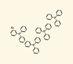 [Ar].c1ccc(P(c2ccccc2)c2ccccc2)cc1.c1ccc(P(c2ccccc2)c2ccccc2)cc1.c1ccc(P(c2ccccc2)c2ccccc2)cc1.c1ccc(P(c2ccccc2)c2ccccc2)cc1